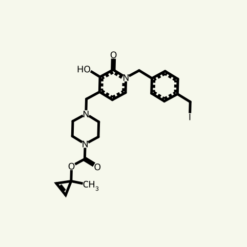 CC1(OC(=O)N2CCN(Cc3ccn(Cc4ccc(CI)cc4)c(=O)c3O)CC2)C=C1